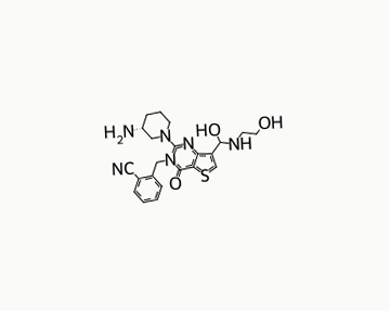 N#Cc1ccccc1Cn1c(N2CCC[C@@H](N)C2)nc2c(C(O)NCCO)csc2c1=O